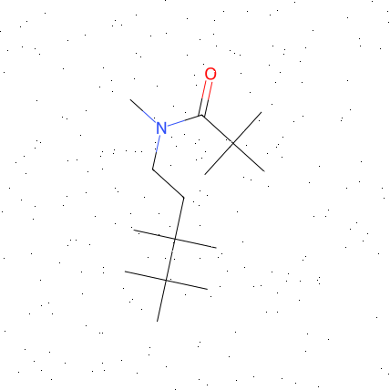 CN(CCC(C)(C)C(C)(C)C)C(=O)C(C)(C)C